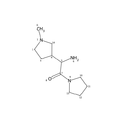 CN1CCC(C(N)C(=O)N2CCCC2)C1